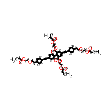 C=CC(=O)OCCOCCc1ccc(C#Cc2ccc(-c3c(C(=O)OCCOC(=O)C=C)cc(C#Cc4ccc(CCOCCOC(=O)C=C)cc4)cc3C(=O)OCCOC(=O)C=C)cc2)cc1